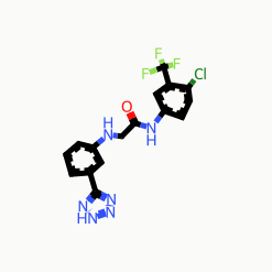 O=C(CNc1cccc(-c2nn[nH]n2)c1)Nc1ccc(Cl)c(C(F)(F)F)c1